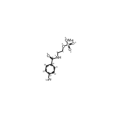 COS(=O)(=O)OCCNC(=O)c1ccc(C(C)C)cc1